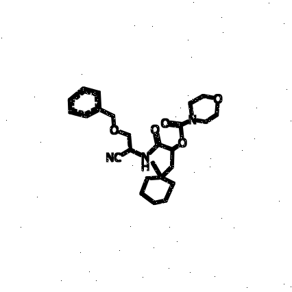 CC1(CC(OC(=O)N2CCOCC2)C(=O)NC(C#N)COCc2ccccc2)CCCCC1